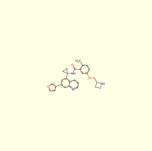 Cc1ccc(OCC2CCN2)cc1C(=O)NC1(c2cc(-c3ccoc3)cc3ncccc23)CC1